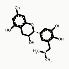 CN(C)Cc1cc([C@H]2Oc3cc(O)cc(O)c3C[C@@H]2O)cc(O)c1O